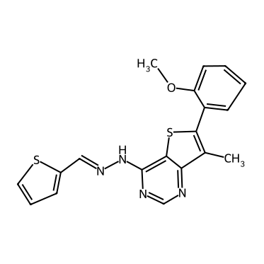 COc1ccccc1-c1sc2c(NN=Cc3cccs3)ncnc2c1C